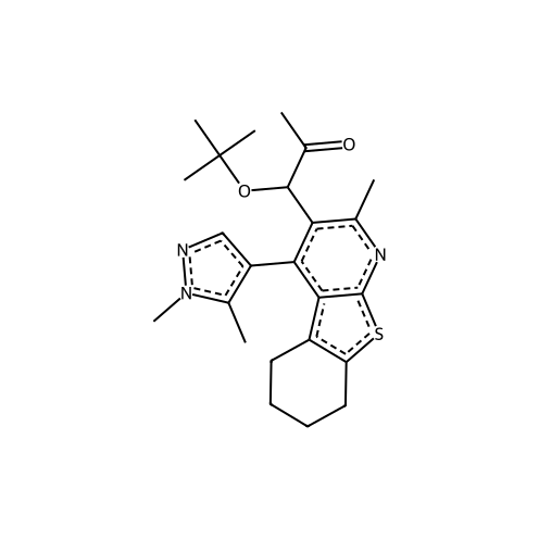 CC(=O)C(OC(C)(C)C)c1c(C)nc2sc3c(c2c1-c1cnn(C)c1C)CCCC3